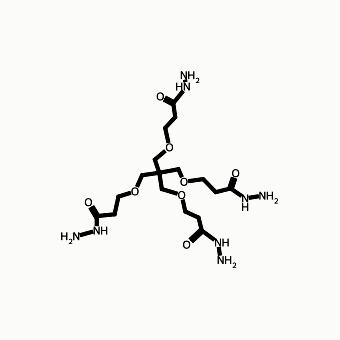 NNC(=O)CCOCC(COCCC(=O)NN)(COCCC(=O)NN)COCCC(=O)NN